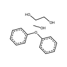 CO.OCCO.c1ccc(Oc2ccccc2)cc1